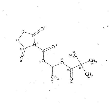 CC(OC(=O)N1C(=O)CCC1=O)OC(=O)C(C)(C)C